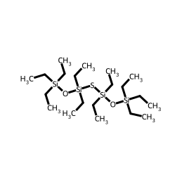 CC[Si](CC)(CC)O[Si](CC)(CC)S[Si](CC)(CC)O[Si](CC)(CC)CC